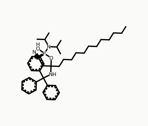 CCCCCCCCCCCCC(CC#N)(NC(c1ccccc1)(c1ccccc1)c1ccccc1)OP(=O)(O)N(C(C)C)C(C)C